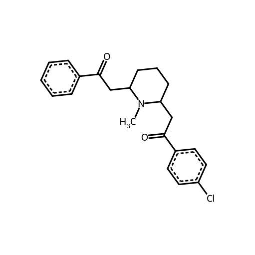 CN1C(CC(=O)c2ccccc2)CCCC1CC(=O)c1ccc(Cl)cc1